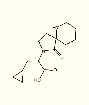 O=C(O)C(CC1CC1)N1CCC2(CCCCN2)C1=O